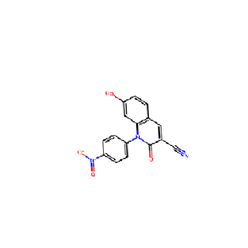 N#Cc1cc2ccc(O)cc2n(-c2ccc([N+](=O)[O-])cc2)c1=O